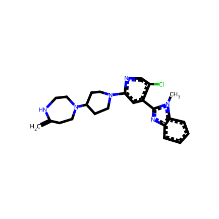 C=C1CCN(C2CCN(c3cc(-c4nc5ccccc5n4C)c(Cl)cn3)CC2)CCN1